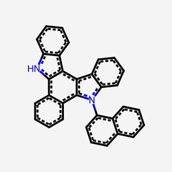 c1ccc2c(-n3c4ccccc4c4c5c6ccccc6[nH]c5c5ccccc5c43)cccc2c1